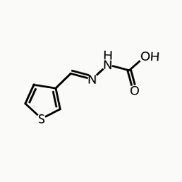 O=C(O)N/N=C/c1ccsc1